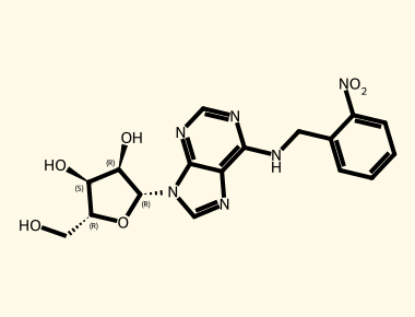 O=[N+]([O-])c1ccccc1CNc1ncnc2c1ncn2[C@@H]1O[C@H](CO)[C@@H](O)[C@H]1O